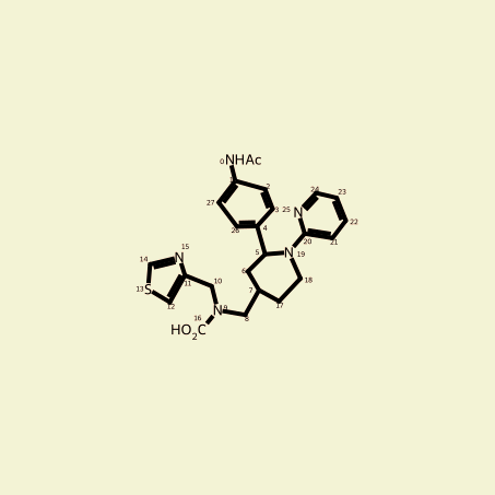 CC(=O)Nc1ccc(C2CC(CN(Cc3cscn3)C(=O)O)CCN2c2ccccn2)cc1